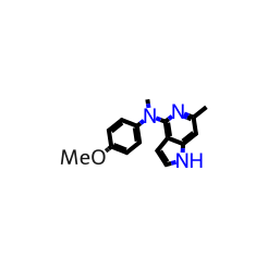 COc1ccc(N(C)c2nc(C)cc3[nH]ccc23)cc1